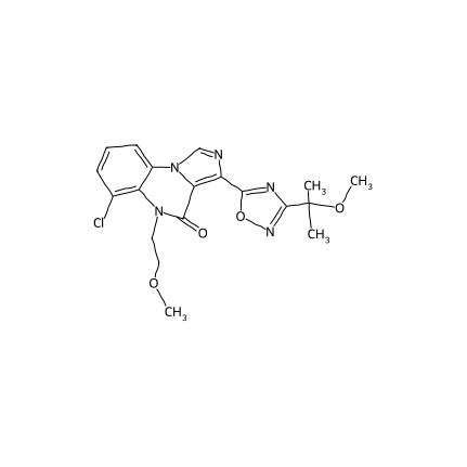 COCCn1c(=O)c2c(-c3nc(C(C)(C)OC)no3)ncn2c2cccc(Cl)c21